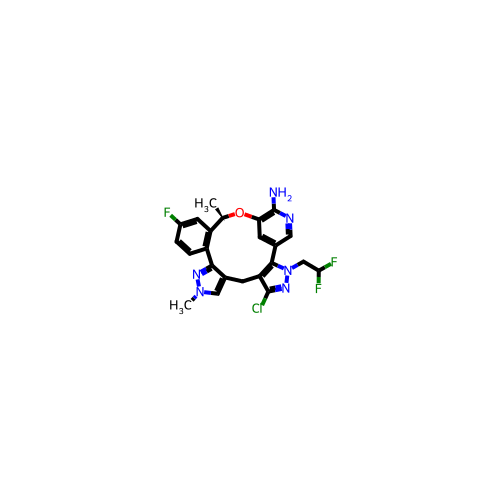 C[C@H]1Oc2cc(cnc2N)-c2c(c(Cl)nn2CC(F)F)Cc2cn(C)nc2-c2ccc(F)cc21